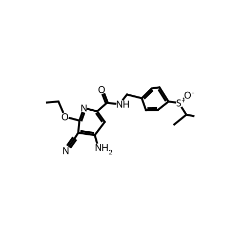 CCOc1nc(C(=O)NCc2ccc([S+]([O-])C(C)C)cc2)cc(N)c1C#N